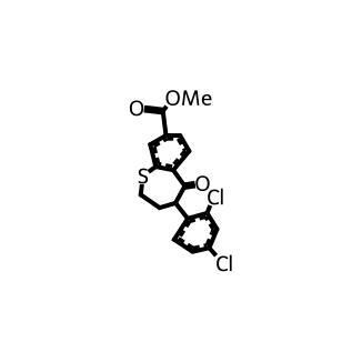 COC(=O)c1ccc2c(c1)SCCC(c1ccc(Cl)cc1Cl)C2=O